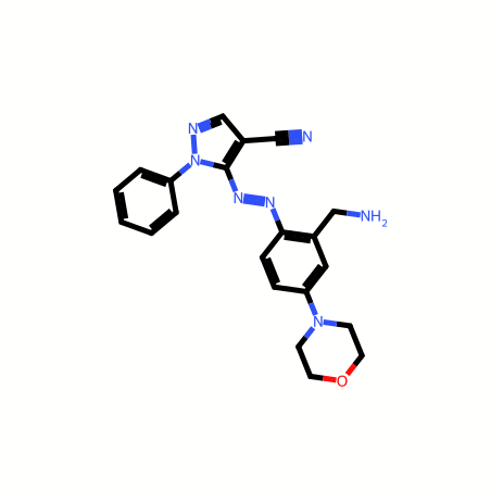 N#Cc1cnn(-c2ccccc2)c1/N=N/c1ccc(N2CCOCC2)cc1CN